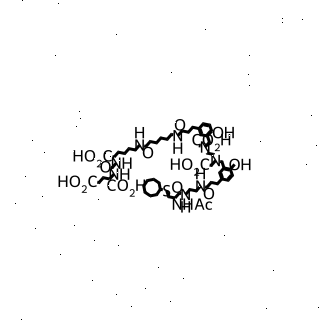 CC(=O)NC(CSC1CCCCCCC1)C(=O)NCCNC(=O)CCc1ccc(O)c(CN(CCN(CC(=O)O)Cc2cc(CCC(=O)NCCCCCC(=O)NCCCCC(NC(=O)NC(CCC(=O)O)C(=O)O)C(=O)O)ccc2O)CC(=O)O)c1